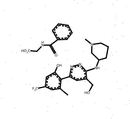 Cc1cc(C(F)(F)F)cc(O)c1-c1cc(CO)c(NC2CCCN(C)C2)nn1.O=C(O)CNC(=O)c1ccccc1